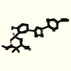 CN=[S@@]1C[C@@](C)(c2cc(-c3cc(-c4ncc(OC)cn4)no3)ccc2F)N=C(N)C1(C)C